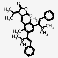 CC(C)=C1C(=O)OC(=O)C1=Cc1c(C)c(C(=Cc2ccccc2)N(C)C)cc(C(=Cc2ccccc2)N(C)C)c1C